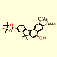 COc1cc2c(O)cc3c(c2cc1OC)-c1ccc(B2OC(C)(C)C(C)(C)O2)cc1C3(C)C